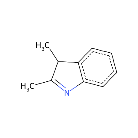 CC1=Nc2ccccc2C1C